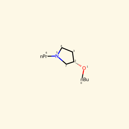 CCCCO[C@H]1CCN(CCC)C1